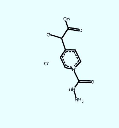 NNC(=O)[n+]1ccc(C(Cl)C(=O)O)cc1.[Cl-]